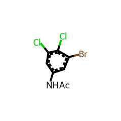 CC(=O)Nc1cc(Cl)c(Cl)c(Br)c1